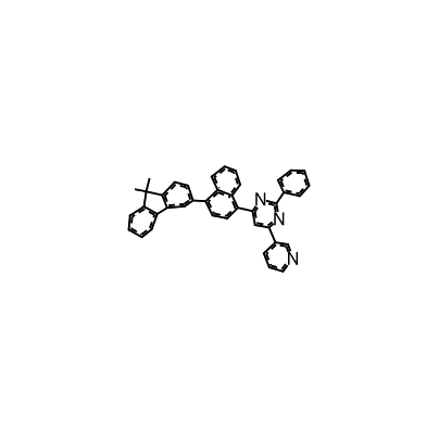 CC1(C)c2ccccc2-c2cc(-c3ccc(-c4cc(-c5cccnc5)nc(-c5ccccc5)n4)c4ccccc34)ccc21